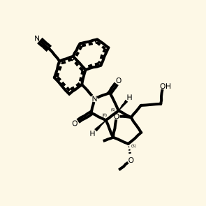 CO[C@H]1CC2(CCO)OC1(C)[C@@H]1C(=O)N(c3ccc(C#N)c4ccccc34)C(=O)[C@@H]12